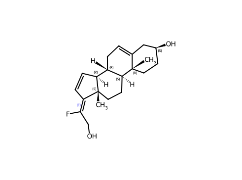 C[C@]12CC[C@H](O)CC1=CC[C@@H]1[C@@H]2CC[C@]2(C)/C(=C(/F)CO)C=C[C@@H]12